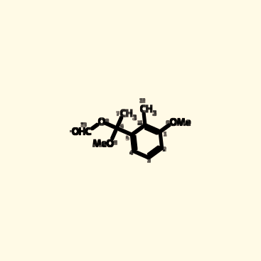 COc1cccc(C(C)(OC)O[C]=O)c1C